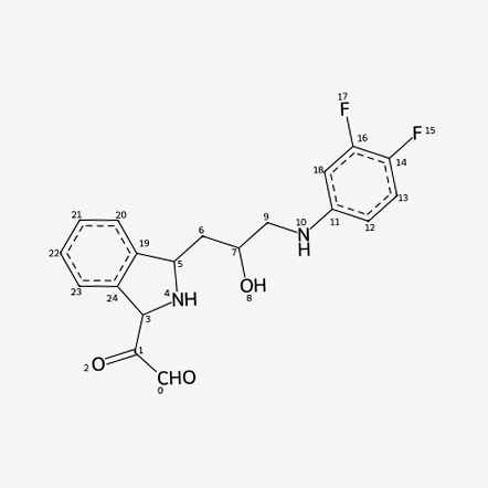 O=CC(=O)C1NC(CC(O)CNc2ccc(F)c(F)c2)c2ccccc21